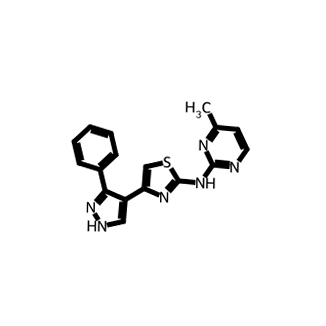 Cc1ccnc(Nc2nc(-c3c[nH]nc3-c3ccccc3)cs2)n1